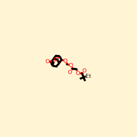 CCC(C)(C)C(=O)OCC(=O)OCOC1C2CC3CC(C2)C(=O)OC1C3